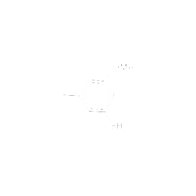 Bc1cc(F)cc(OC)c1